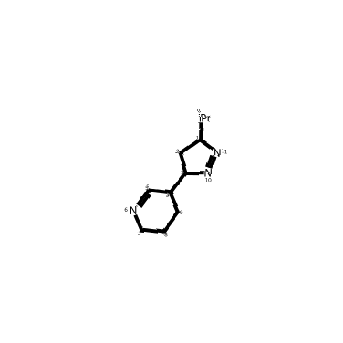 CC(C)C1CC(C2C=NCCC2)N=N1